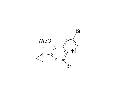 COc1c(C2(C)CC2)cc(Br)c2ncc(Br)cc12